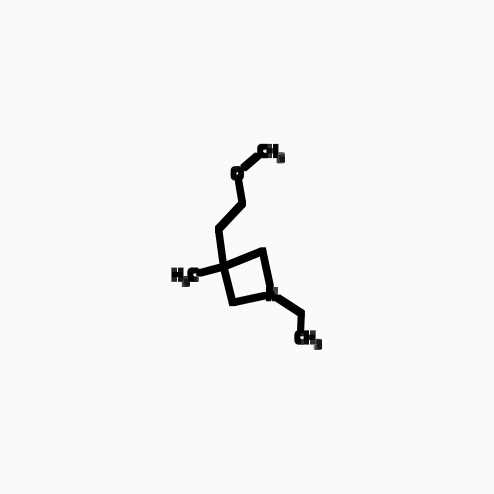 CCN1CC(C)(CCOC)C1